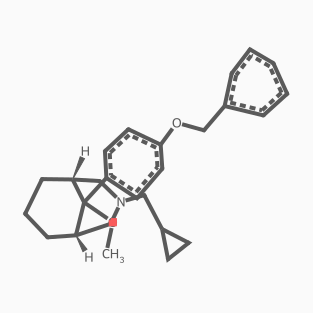 COC1(c2ccc(OCc3ccccc3)cc2)[C@@H]2CCC[C@H]1CN(CC1CC1)C2